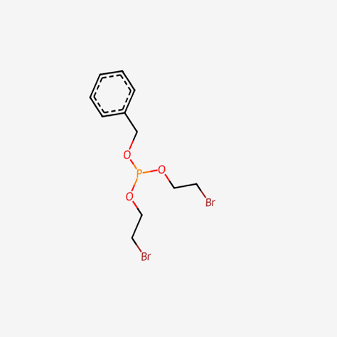 BrCCOP(OCCBr)OCc1ccccc1